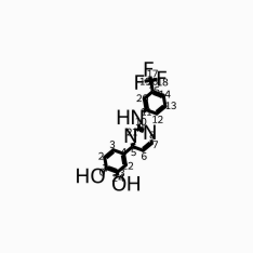 Oc1ccc(-c2ccnc(Nc3cccc(C(F)(F)F)c3)n2)cc1O